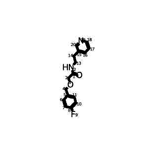 O=C(COCc1ccc(F)cc1)NCCc1cccnc1